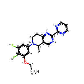 CC1c2cnc(-c3ncccn3)nc2CCN1c1cc(F)c(F)c(OCC(=O)O)c1